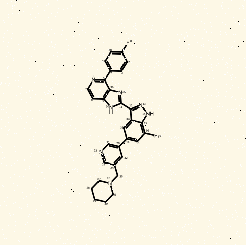 Fc1ccc(-c2nccc3[nH]c(-c4n[nH]c5c(F)cc(-c6cncc(CN7CCCCC7)c6)cc45)nc23)cc1